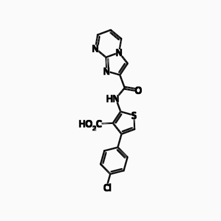 O=C(Nc1scc(-c2ccc(Cl)cc2)c1C(=O)O)c1cn2cccnc2n1